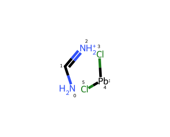 NC=[NH2+].[Cl][Pb][Cl]